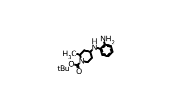 CC1CC(Nc2ccccc2N)CCN1C(=O)OC(C)(C)C